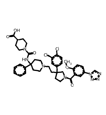 COc1ccc(-n2cnnn2)cc1C(=O)N1CCC(CCN2CCC(NC(=O)N3CCC(C(=O)O)CC3)(c3ccccc3)CC2)(c2ccc(Cl)c(Cl)c2)C1